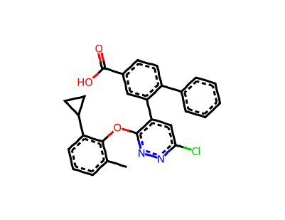 Cc1cccc(C2CC2)c1Oc1nnc(Cl)cc1-c1cc(C(=O)O)ccc1-c1ccccc1